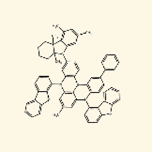 Cc1cc2c3c(c1)N(c1cccc4sc5ccccc5c14)c1ccc(-c4ccccc4)cc1B3c1ccc(N3c4cc(C)cc(C)c4C4(C)CCCCC34C)cc1N2c1cccc2c1oc1ccccc12